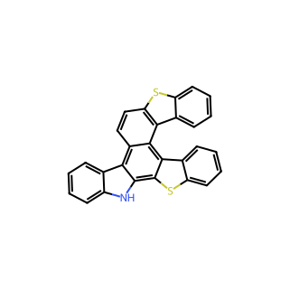 c1ccc2c(c1)[nH]c1c3sc4ccccc4c3c3c(ccc4sc5ccccc5c43)c21